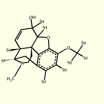 [2H]c1c([2H])c(OC([2H])([2H])[2H])c2c3c1C[C@H]1N(C)CC[C@@]34C([2H])(O2)C([2H])(O)C=C[C@@]14[2H]